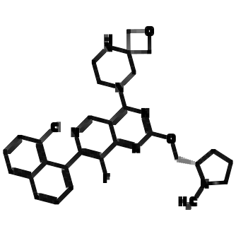 CN1CCC[C@H]1COc1nc(N2CCNC3(COC3)C2)c2cnc(-c3cccc4cccc(Cl)c34)c(F)c2n1